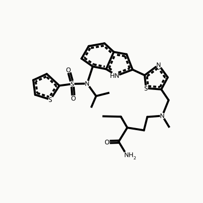 CCC(CCN(C)Cc1cnc(-c2cc3cccc(N(C(C)C)S(=O)(=O)c4cccs4)c3[nH]2)s1)C(N)=O